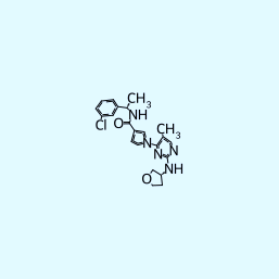 Cc1cnc(N[C@H]2CCOC2)nc1-n1ccc(C(=O)N[C@H](C)c2cccc(Cl)c2)c1